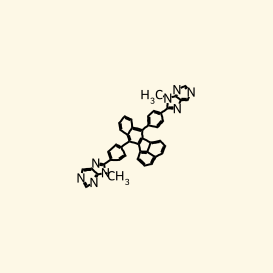 Cn1c(-c2ccc(-c3c4c(c(-c5ccc(-c6nc7cncnc7n6C)cc5)c5ccccc35)-c3cccc5cccc-4c35)cc2)nc2cncnc21